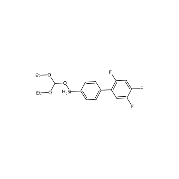 CCOC(OCC)O[SiH2]c1ccc(-c2cc(F)c(F)cc2F)cc1